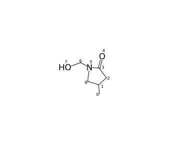 CC1CC(=O)N(CO)C1